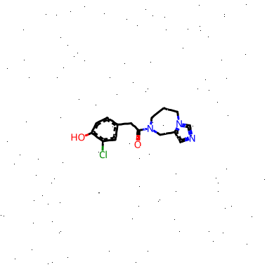 O=C(Cc1ccc(O)c(Cl)c1)N1CCCn2cncc2C1